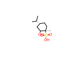 CC(C)[C@@H]1CC[C@@](C)(S(=O)(=O)O)C(O)C1